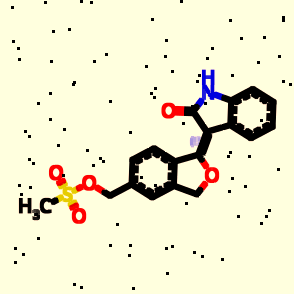 CS(=O)(=O)OCc1ccc2c(c1)CO/C2=C1/C(=O)Nc2ccccc21